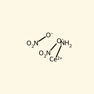 O=[N+]([O-])[O-].O=[N+]([O-])[O-].[NH2][Ce+2]